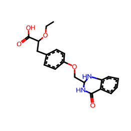 CCOC(Cc1ccc(OCC2NC(=O)c3ccccc3N2)cc1)C(=O)O